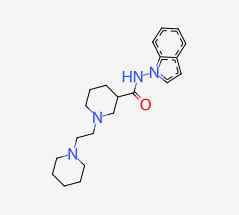 O=C(Nn1ccc2ccccc21)C1CCCN(CCN2CCCCC2)C1